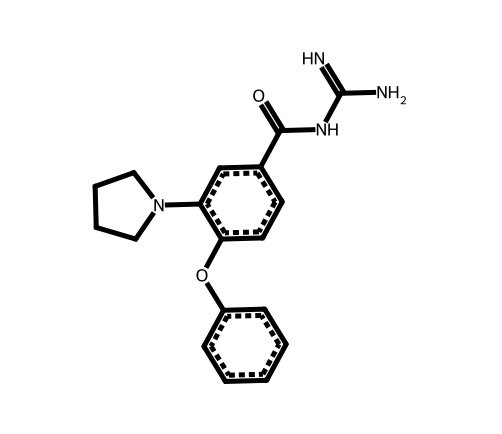 N=C(N)NC(=O)c1ccc(Oc2ccccc2)c(N2CCCC2)c1